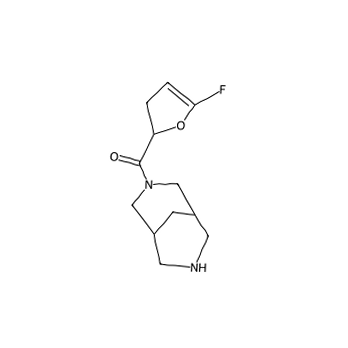 O=C(C1CC=C(F)O1)N1CC2CNCC(C2)C1